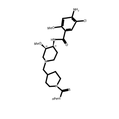 CCCCCC(=S)N1CCC(CN2CC[C@H](NC(=O)c3cc(Cl)c(N)cc3OC)[C@H](OC)C2)CC1